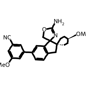 COc1cc(C#N)cc(-c2ccc3c(c2)C2(COC(N)=N2)[C@]2(CC[C@H](OC)CC2)C3)c1